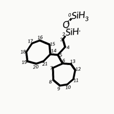 [SiH3]O[SiH]CCC(C1CCCCCCC1)C1CCCCCCC1